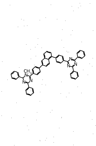 CN1C(c2ccc(-c3ccc4c(-c5ccc(-c6nc(-c7ccccc7)nc(-c7ccccc7)n6)cc5)cccc4c3)cc2)=NC(c2ccccc2)=NC1c1ccccc1